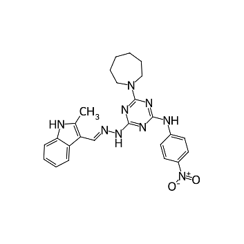 Cc1[nH]c2ccccc2c1/C=N/Nc1nc(Nc2ccc([N+](=O)[O-])cc2)nc(N2CCCCCC2)n1